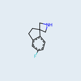 Fc1ccc2c(c1)CCC21CNC1